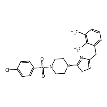 Cc1cccc(Cc2csc(N3CCN(S(=O)(=O)c4ccc(Cl)cc4)CC3)n2)c1C